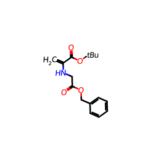 C=C(NCC(=O)OCc1ccccc1)C(=O)OC(C)(C)C